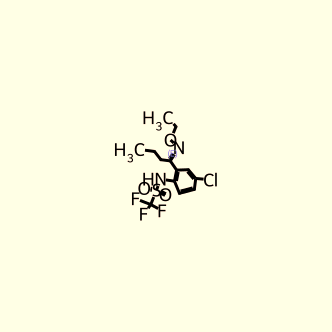 CCC/C(=N\OCC)c1cc(Cl)ccc1NS(=O)(=O)C(F)(F)F